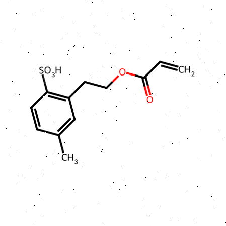 C=CC(=O)OCCc1cc(C)ccc1S(=O)(=O)O